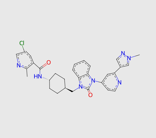 Cc1ncc(Cl)cc1C(=O)N[C@H]1CC[C@H](Cn2c(=O)n(-c3ccnc(-c4cnn(C)c4)c3)c3ccccc32)CC1